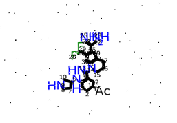 CC(=O)C1CCC(NC2CCNC2)=C(C(=N)N2CCCc3cc(/C(C=N)=C/N)c(C(F)F)cc32)C1